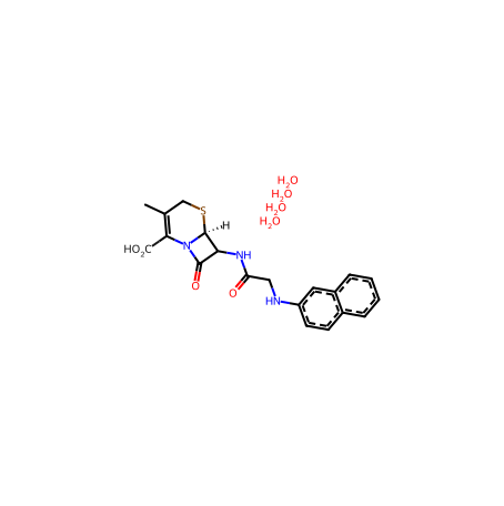 CC1=C(C(=O)O)N2C(=O)C(NC(=O)CNc3ccc4ccccc4c3)[C@@H]2SC1.O.O.O.O